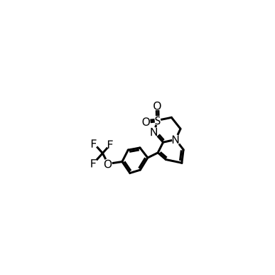 O=S1(=O)CCN2C=CC=C(c3ccc(OC(F)(F)F)cc3)C2=N1